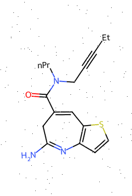 CCC#CCN(CCC)C(=O)C1=Cc2sccc2N=C(N)C1